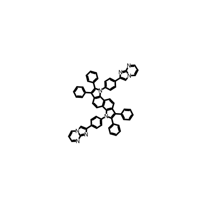 c1ccc(-c2c(-c3ccccc3)n(-c3ccc(-c4cn5cccnc5n4)cc3)c3c2ccc2c3ccc3c(-c4ccccc4)c(-c4ccccc4)n(-c4ccc(-c5cn6cccnc6n5)cc4)c32)cc1